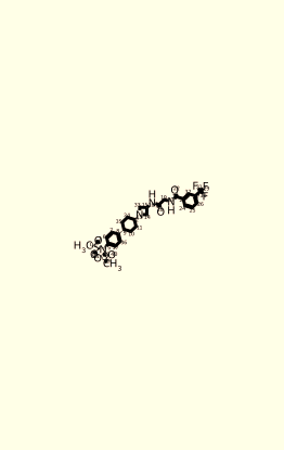 CS(=O)(=O)N(c1ccc([C@H]2CC[C@@H](N3CC(NC(=O)CNC(=O)c4cccc(C(F)(F)F)c4)C3)CC2)cc1)S(C)(=O)=O